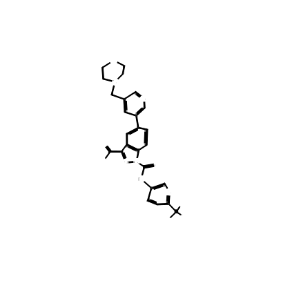 O=C(O)c1nn(C(=O)Nc2ccc(C(F)(F)F)nc2)c2ccc(-c3cncc(CN4CCOCC4)c3)cc12